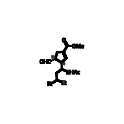 CCC(CC)CC(NC(C)=O)[C@@H]1C=C(C(=O)OC)C[C@H]1C=O